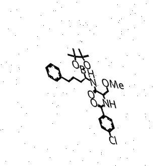 COCC(NC(=O)c1ccc(Cl)cc1)C(=O)N[C@@H](CCCc1ccccc1)B1OC(C)(C)C(C)(C)O1